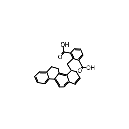 O=C(O)c1cccc(C(=O)O)c1CC1CC=Cc2ccc3c(c21)CCc1ccccc1-3